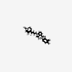 Cc1c(F)ccc2[nH]c(-c3cccc4c3ccn4CCCCC3CCN(C)CC3)nc12